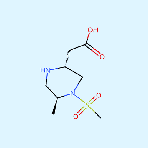 C[C@H]1CN[C@H](CC(=O)O)CN1S(C)(=O)=O